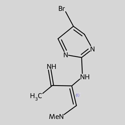 CN/C=C(/Nc1ncc(Br)cn1)C(C)=N